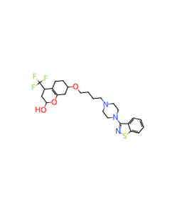 OC1CC(C(F)(F)F)C2=C(CC(OCCCCN3CCN(c4nsc5ccccc45)CC3)CC2)O1